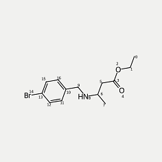 CCOC(=O)CC(C)NCc1ccc(Br)cc1